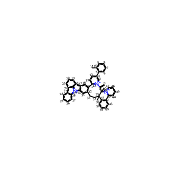 C=C1[n+]2cc(-c3ccccc3C)ccc2-c2cc3c4cccc5c6ccccc6n(c3cc2CCC2(C)c3ccccc3-c3cccc[n+]3C12C)c54